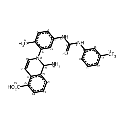 Cc1ccc(NC(=O)Nc2cccc(C(F)(F)F)c2)cc1N1C=Cc2c(C(=O)O)cccc2C1N